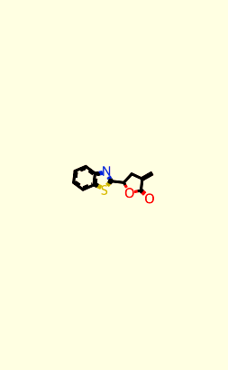 C=C1CC(c2nc3ccccc3s2)OC1=O